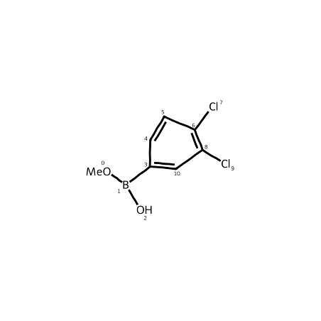 COB(O)c1ccc(Cl)c(Cl)c1